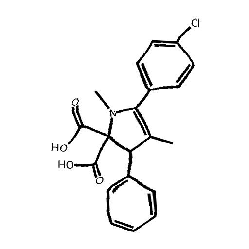 CC1=C(c2ccc(Cl)cc2)N(C)C(C(=O)O)(C(=O)O)C1c1ccccc1